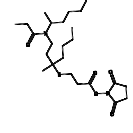 CCCCC(C)N(CCC(C)(CCCC)SCCC(=O)ON1C(=O)CCC1=O)C(=O)CC